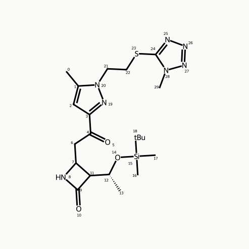 Cc1cc(C(=O)CC2NC(=O)C2[C@@H](C)O[Si](C)(C)C(C)(C)C)nn1CCSc1nnnn1C